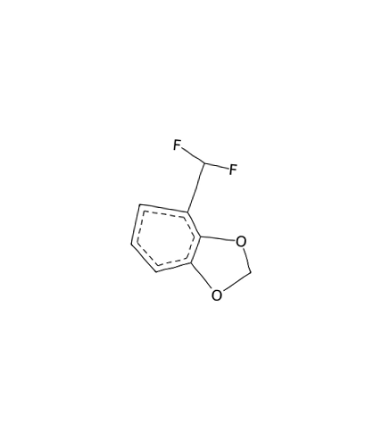 FC(F)c1cccc2c1OCO2